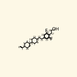 C=CC1CCC(C2CCC(CCc3cc(F)c(CCO)c(F)c3)CC2)CC1